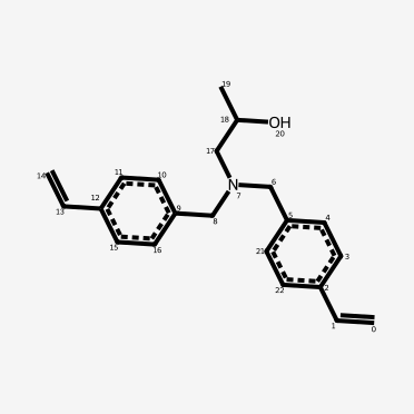 C=Cc1ccc(CN(Cc2ccc(C=C)cc2)CC(C)O)cc1